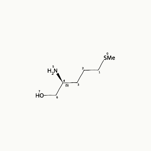 CSCCC[C@H](N)CO